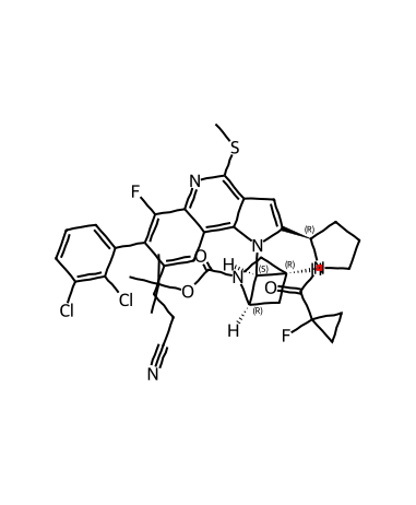 CSc1nc2c(F)c(-c3cccc(Cl)c3Cl)c(CCC#N)cc2c2c1cc([C@H]1CCCN1C(=O)C1(F)CC1)n2[C@H]1[C@@H]2C[C@H]1N(C(=O)OC(C)(C)C)C2